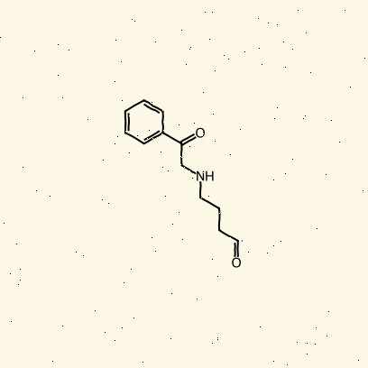 O=[C]CCCNCC(=O)c1ccccc1